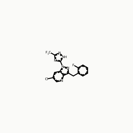 Fc1ccccc1Cc1nn(-c2nc(C(F)(F)F)n[nH]2)c2cc(Cl)cnc12